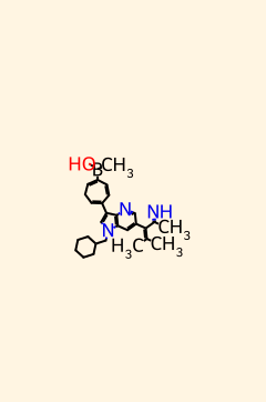 CB(O)C1=CCC=C(c2cn(CC3CCCCC3)c3cc(C(C(C)=N)=C(C)C)cnc23)C=C1